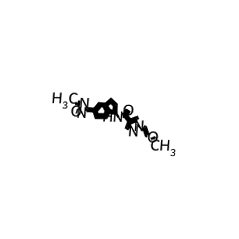 COCCn1cc(C(=O)N[C@@H]2CCc3cc(-c4noc(C)n4)ccc32)cn1